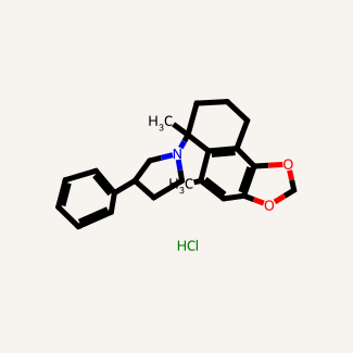 Cc1cc2c(c3c1C(C)(N1CCC(c4ccccc4)C1)CCC3)OCO2.Cl